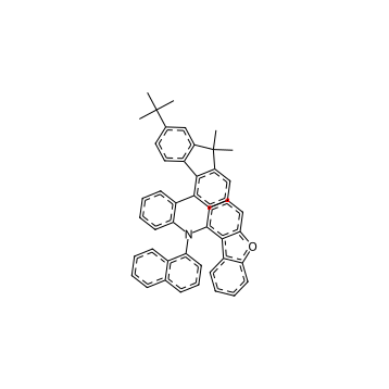 CC(C)(C)c1ccc2c(c1)C(C)(C)c1cccc(-c3ccccc3N(c3cccc4ccccc34)c3cccc4oc5ccccc5c34)c1-2